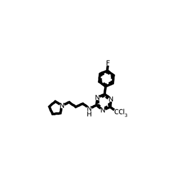 Fc1ccc(-c2nc(NCCCN3CCCC3)nc(C(Cl)(Cl)Cl)n2)cc1